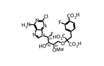 CO[C@H](COC(Cc1ccc(C(=O)O)c(F)c1)(C(=O)O)C(=O)O)[C@@H](O)[C@H](F)n1cnc2c(N)nc(Cl)nc21